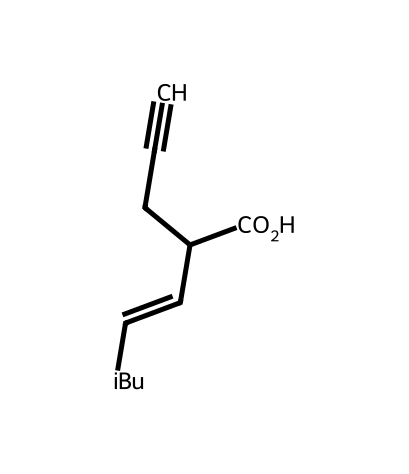 C#CCC(/C=C/C(C)CC)C(=O)O